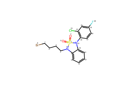 O=S1(=O)N(CCCCBr)c2ccccc2N1c1ccc(F)cc1Cl